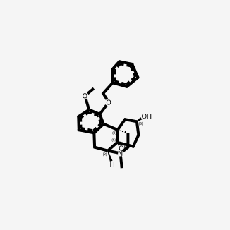 COc1ccc2c(c1OCc1ccccc1)[C@]13CCN(C)[C@H](C2)[C@]1(O)CC[C@H](O)C3